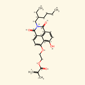 C=C(C)C(=O)OCCOc1ccc2c3c(ccc(O)c13)C(=O)N(CC(CC)CCCC)C2=O